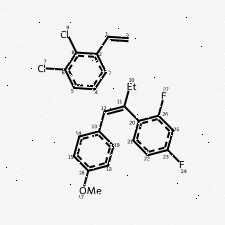 C=Cc1cccc(Cl)c1Cl.CCC(=Cc1ccc(OC)cc1)c1ccc(F)cc1F